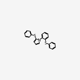 c1ccc(Sc2ccccc2-n2cccc2Sc2ccccc2)cc1